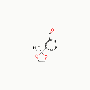 CC1(c2cccc(C=O)c2)OCCO1